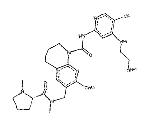 COCCNc1cc(NC(=O)N2CCCc3cc(CN(C)C(=O)[C@@H]4CCCN4C)c(C=O)nc32)ncc1C#N